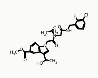 COC(=O)c1ccc2c(c1)c(C(C)O)cn2CC(=O)N(CC(=O)NCc1cccc(Cl)c1F)C(C)C